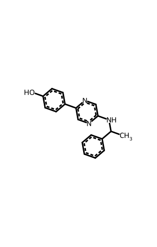 CC(Nc1cnc(-c2ccc(O)cc2)cn1)c1ccccc1